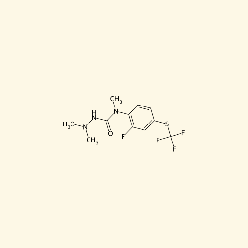 CN(C)NC(=O)N(C)c1ccc(SC(F)(F)F)cc1F